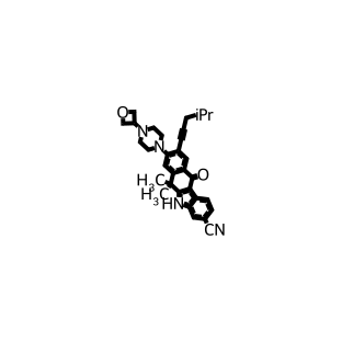 CC(C)CC#Cc1cc2c(cc1N1CCN(C3COC3)CC1)C(C)(C)c1[nH]c3cc(C#N)ccc3c1C2=O